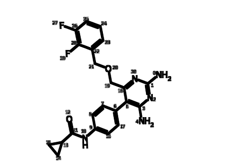 Nc1nc(N)c(-c2ccc(NC(=O)C3CC3)cc2)c(COCc2cccc(F)c2F)n1